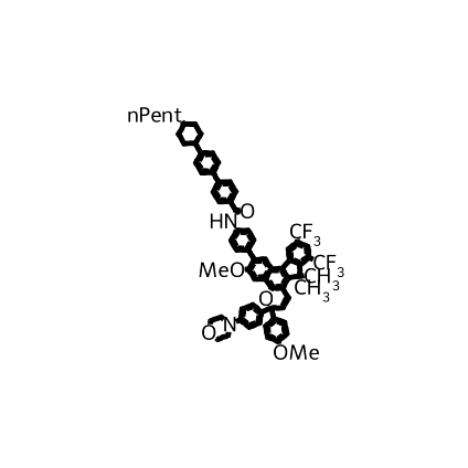 CCCCCC1CCC(c2ccc(-c3ccc(C(=O)Nc4ccc(-c5cc6c7c(c8c(c6cc5OC)OC(c5ccc(OC)cc5)(c5ccc(N6CCOCC6)cc5)C=C8)C(C)(C)c5c-7cc(C(F)(F)F)cc5C(F)(F)F)cc4)cc3)cc2)CC1